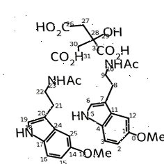 COc1ccc2[nH]cc(CCNC(C)=O)c2c1.COc1ccc2[nH]cc(CCNC(C)=O)c2c1.O=C(O)CC(O)(CC(=O)O)C(=O)O